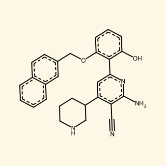 N#Cc1c(C2CCCNC2)cc(-c2c(O)cccc2OCc2ccc3ccccc3c2)nc1N